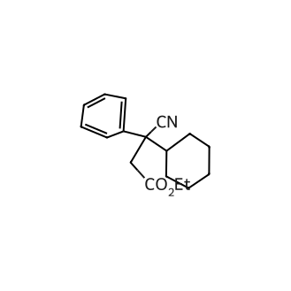 CCOC(=O)CC(C#N)(c1ccccc1)C1CCCCC1